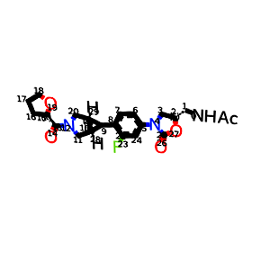 CC(=O)NC[C@H]1CN(c2ccc(C3[C@H]4CN(C(=O)[C@H]5CCCO5)C[C@@H]34)c(F)c2)C(=O)O1